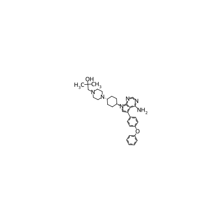 CC(C)(O)CN1CCN([C@H]2CC[C@H](n3cc(-c4ccc(Oc5ccccc5)cc4)c4c(N)ncnc43)CC2)CC1